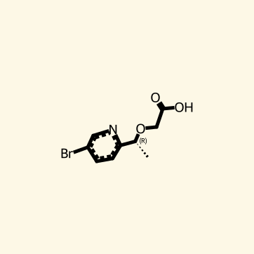 C[C@@H](OCC(=O)O)c1ccc(Br)cn1